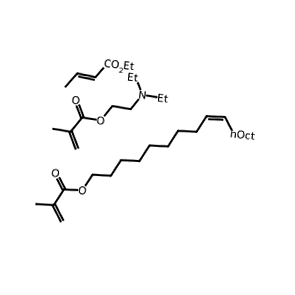 C=C(C)C(=O)OCCCCCCCC/C=C\CCCCCCCC.C=C(C)C(=O)OCCN(CC)CC.CC=CC(=O)OCC